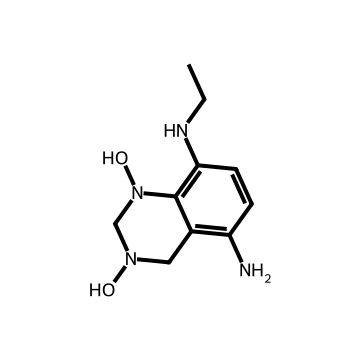 CCNc1ccc(N)c2c1N(O)CN(O)C2